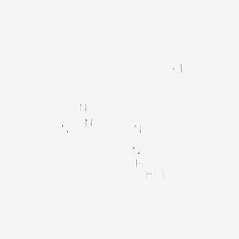 Cl.Cl.Clc1ccc(CN2CCN=C2C(Cn2cncn2)c2ccccc2)c(Cl)c1